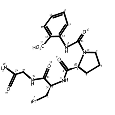 CC(C)C[C@H](NC(=O)[C@@H]1CCCN1C(=O)Nc1ccccc1C(=O)O)C(=O)NCC(N)=O